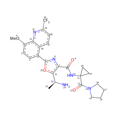 COc1ccc(-c2nc(C(=O)NC3(C(=O)N4CCCC4)CC3)c([C@H](C)N)o2)c2ccc(C(F)(F)F)nc12